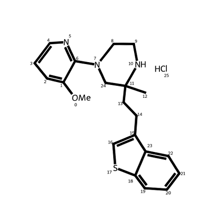 COc1cccnc1N1CCNC(C)(CCc2csc3ccccc23)C1.Cl